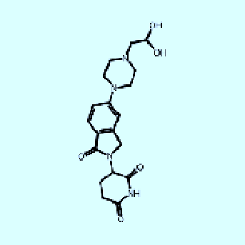 O=C1CCC(N2Cc3cc(N4CCN(CC(O)O)CC4)ccc3C2=O)C(=O)N1